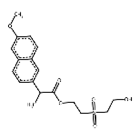 COc1ccc2cc(C(C)C(=O)OCCS(=O)(=O)CCO)ccc2c1